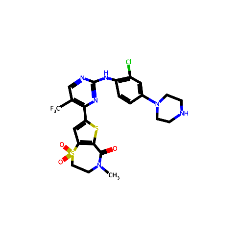 CN1CCS(=O)(=O)c2cc(-c3nc(Nc4ccc(N5CCNCC5)cc4Cl)ncc3C(F)(F)F)sc2C1=O